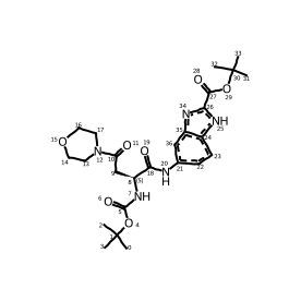 CC(C)(C)OC(=O)N[C@@H](CC(=O)N1CCOCC1)C(=O)Nc1ccc2[nH]c(C(=O)OC(C)(C)C)nc2c1